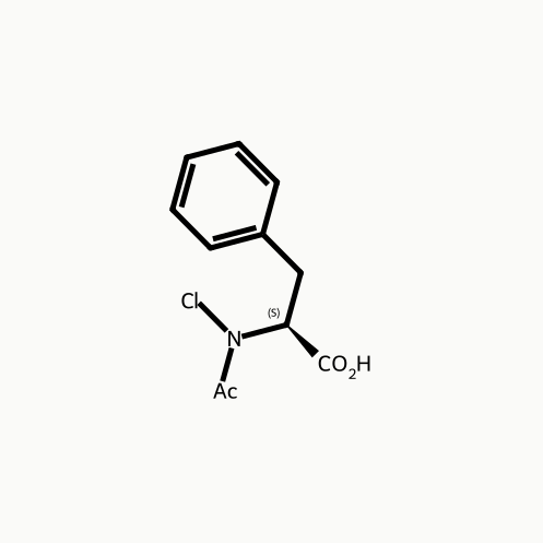 CC(=O)N(Cl)[C@@H](Cc1ccccc1)C(=O)O